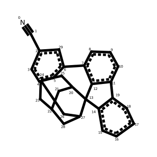 N#Cc1cccc(-c2cccc3c2C2(c4ccccc4-3)C3CC4CC(C3)CC2C4)c1